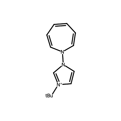 CC(C)(C)[n+]1ccn(N2C=CC=CC=C2)c1